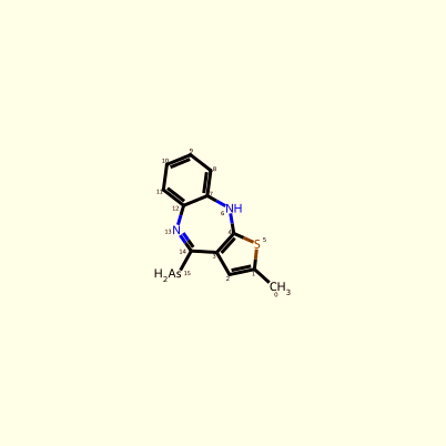 Cc1cc2c(s1)Nc1ccccc1N=C2[AsH2]